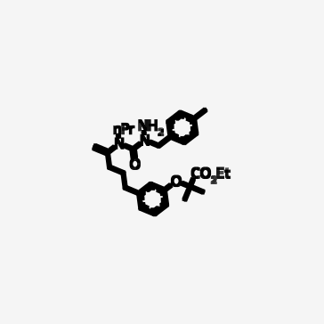 C=C(CCCc1cccc(OC(C)(C)C(=O)OCC)c1)N(CCC)C(=O)N(N)Cc1ccc(C)cc1